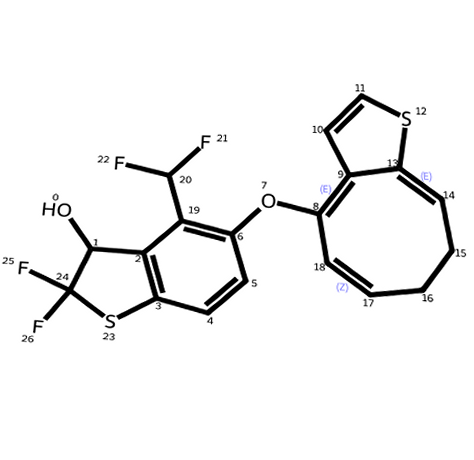 OC1c2c(ccc(OC3=c4\ccs\c4=C\CC/C=C\3)c2C(F)F)SC1(F)F